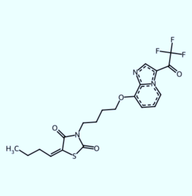 CCCC=C1SC(=O)N(CCCCOc2cccn3c(C(=O)C(F)(F)F)cnc23)C1=O